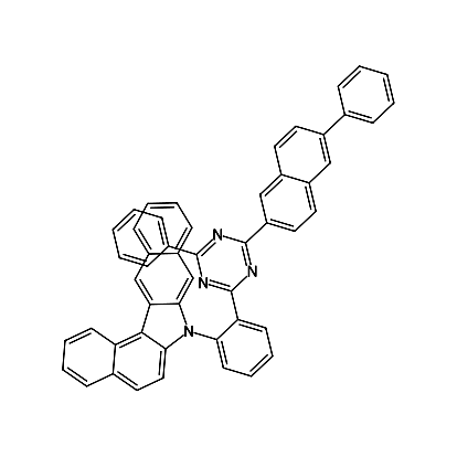 c1ccc(-c2ccc3cc(-c4nc(-c5ccccc5)nc(-c5ccccc5-n5c6cc7ccccc7cc6c6c7ccccc7ccc65)n4)ccc3c2)cc1